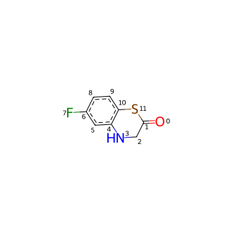 O=C1CNc2cc(F)ccc2S1